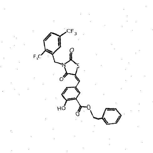 O=C(OCc1ccccc1)c1cc(/C=C2/SC(=O)N(Cc3cc(C(F)(F)F)ccc3C(F)(F)F)C2=O)ccc1O